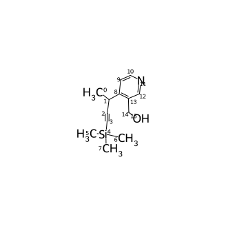 CC(C#C[Si](C)(C)C)c1ccncc1CO